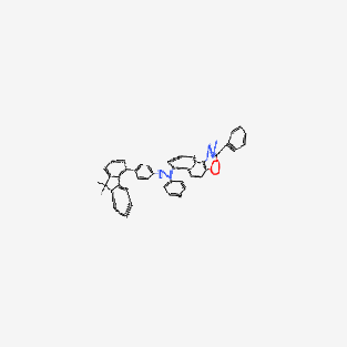 CC1(C)c2ccccc2-c2c(-c3ccc(N(c4ccccc4)c4cccc5c4ccc4oc(-c6ccccc6)nc45)cc3)cccc21